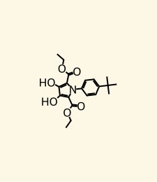 CCOC(=O)c1c(O)c(O)c(C(=O)OCC)n1-c1ccc(C(C)(C)C)cc1